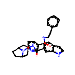 O=C(NCc1ccccc1)c1ccc(N2C3CCC2CC(NC(=O)c2ccc4cc[nH]c4c2)C3)nc1